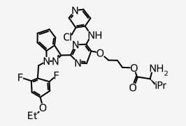 CCOc1cc(F)c(Cn2nc(-c3ncc(OCCCOC(=O)[C@@H](N)C(C)C)c(Nc4ccncc4Cl)n3)c3ccccc32)c(F)c1